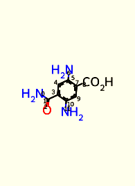 NC(=O)c1cc(N)c(C(=O)O)cc1N